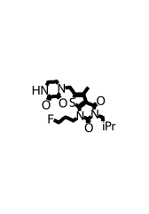 Cc1c(CN2CCNC(=O)C2=O)sc2c1c(=O)n(CC(C)C)c(=O)n2CCCF